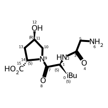 CC[C@H](C)[C@H](NC(=O)CN)C(=O)N1C[C@H](O)C[C@H]1C(=O)O